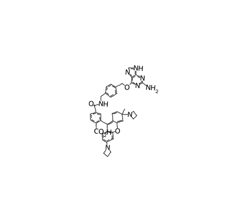 CC1(N2CCC2)C=CC2=C(c3cc(C(=O)NCc4ccc(COc5nc(N)nc6[nH]cnc56)cc4)ccc3C(=O)O)c3ccc(N4CCC4)cc3OC2=C1